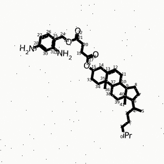 CC(C)CCCC(C)C1CCC2C3CC=C4CC(OC(=O)CCC(=O)OCc5ccc(N)cc5N)CCC4(C)C3CCC12C